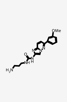 COc1cccc(-c2ccc3nc(NC(=O)NCCCN)cn3n2)c1